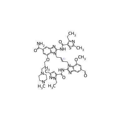 CCc1nc(C)sc1C(=O)Nc1nc2cc(C(N)=O)cc(OCCCN3CCN(C)CC3)c2n1C/C=C/Cn1c(NC(=O)c2cc(C)nn2CC)nc2cc(C=O)cc(OC)c21